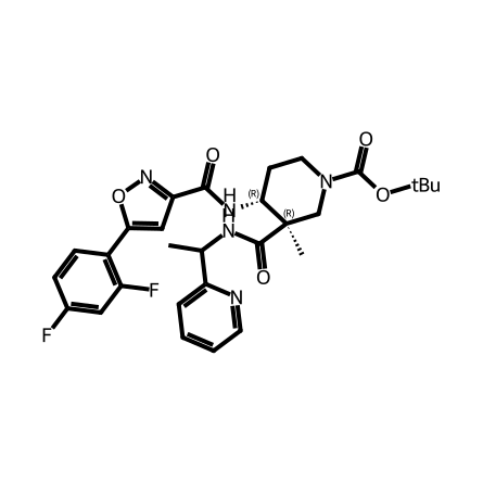 CC(NC(=O)[C@]1(C)CN(C(=O)OC(C)(C)C)CC[C@H]1NC(=O)c1cc(-c2ccc(F)cc2F)on1)c1ccccn1